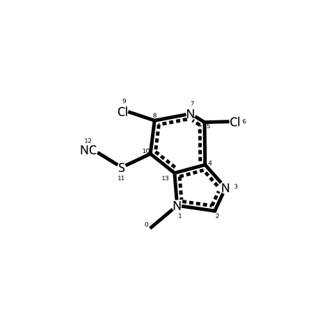 Cn1cnc2c(Cl)nc(Cl)c(SC#N)c21